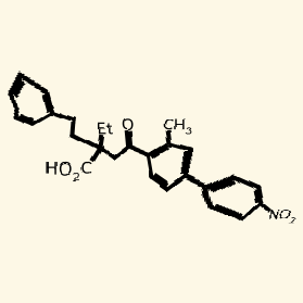 CCC(CCc1ccccc1)(CC(=O)c1ccc(-c2ccc([N+](=O)[O-])cc2)cc1C)C(=O)O